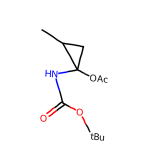 CC(=O)OC1(NC(=O)OC(C)(C)C)CC1C